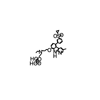 CCN(CCCOc1ccc(-c2cccc(S(=O)(=O)C3CC3)c2)c2c1[nH]c1ncc(C)cc12)CCOP(=O)(O)O